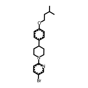 CC(C)CCOc1ccc(C2CCN(c3ccc(Br)cn3)CC2)cc1